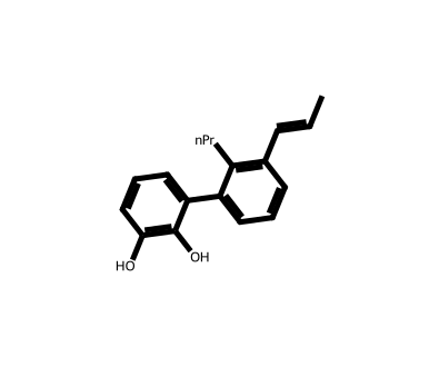 CC=Cc1cccc(-c2cccc(O)c2O)c1CCC